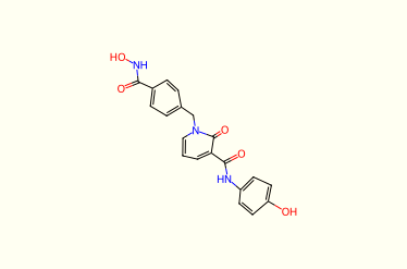 O=C(NO)c1ccc(Cn2cccc(C(=O)Nc3ccc(O)cc3)c2=O)cc1